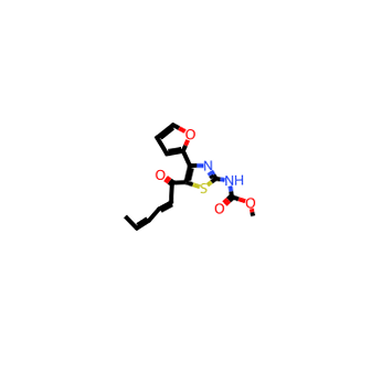 C/C=C\C=C\C(=O)c1sc(NC(=O)OC)nc1-c1ccco1